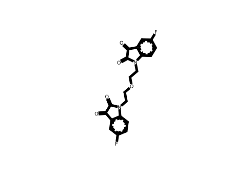 O=C1C(=O)N(CCOCCN2C(=O)C(=O)c3cc(F)ccc32)c2ccc(F)cc21